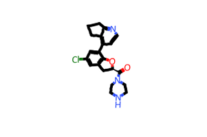 O=C([C@H]1Cc2cc(Cl)cc(-c3ccnc4c3CCC4)c2O1)N1CCNCC1